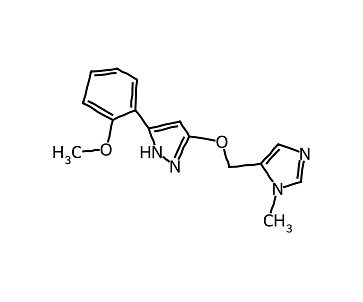 COc1ccccc1-c1cc(OCc2cncn2C)n[nH]1